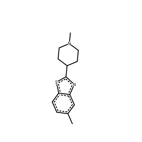 Cc1ccc2sc(C3CCN(C)CC3)nc2c1